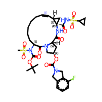 CC(C)(C)OC(=O)N([C@H]1CCCCC/C=C\[C@@H]2C[C@@]2(C(=O)NS(=O)(=O)C2CC2)NC(=O)[C@@H]2C[C@@H](OC(=O)N3Cc4cccc(F)c4C3)CN2C1=O)S(C)(=O)=O